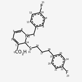 O=C(O)C1=CC=CN(Cc2ccc(F)cc2)C1SCCCc1ccc(F)cc1